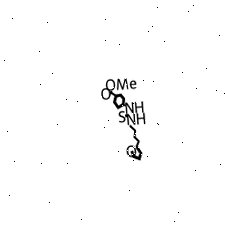 COC(=O)c1ccc(NC(=S)NCCCCc2ccco2)cc1